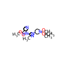 COC(=O)c1ccncc1Nc1cn(C2CCCN(C(=O)OC(C)(C)C)CC2)nc1C